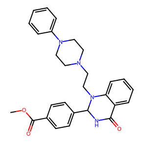 COC(=O)c1ccc(C2NC(=O)c3ccccc3N2CCN2CCN(c3ccccc3)CC2)cc1